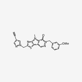 C#Cc1cnn(Cc2nc3c(s2)c2cnn(Cc4cccc(OC)c4)c(=O)c2n3C)c1